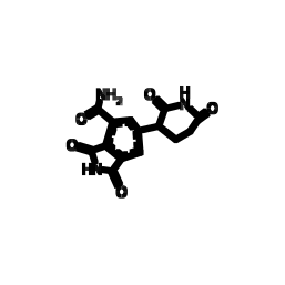 NC(=O)c1cc(C2CCC(=O)NC2=O)cc2c1C(=O)NC2=O